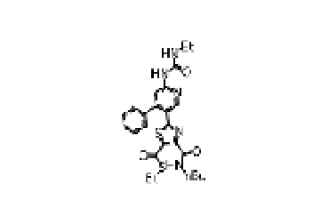 CCCCNC(=O)c1nc(-c2cnc(NC(=O)NCC)cc2-c2ccccc2)sc1C(=O)SCC